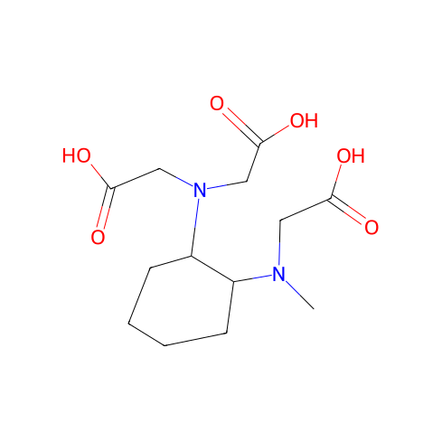 CN(CC(=O)O)C1CCCCC1N(CC(=O)O)CC(=O)O